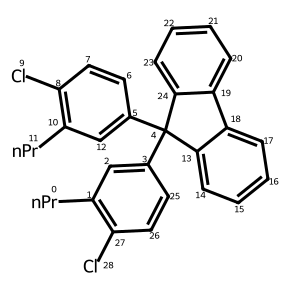 CCCc1cc(C2(c3ccc(Cl)c(CCC)c3)c3ccccc3-c3ccccc32)ccc1Cl